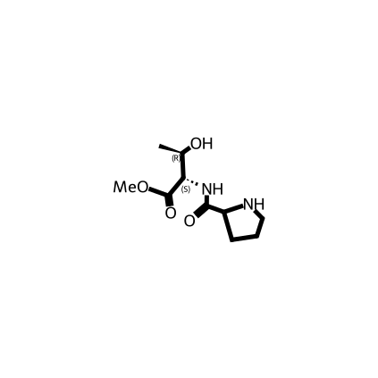 COC(=O)[C@@H](NC(=O)C1CCCN1)[C@@H](C)O